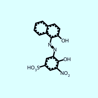 O=[N+]([O-])c1cc(S(=O)(=O)O)cc(N=Nc2c(O)ccc3ccccc23)c1O